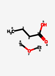 CCCC(=O)O.CC[O][Ti]